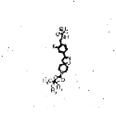 CC(C)(C)OC(=O)N1CCC2(CC1)CC(c1ccc(CNS(C)(=O)=O)c(F)c1)=NO2